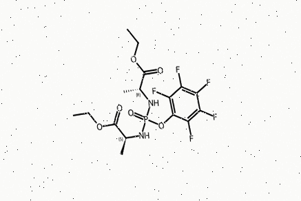 CCOC(=O)[C@H](C)NP(=O)(N[C@H](C)C(=O)OCC)Oc1c(F)c(F)c(F)c(F)c1F